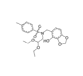 CCOC(CN(Cc1ccc2c(c1O)OCO2)S(=O)(=O)c1ccc(C)cc1)OCC